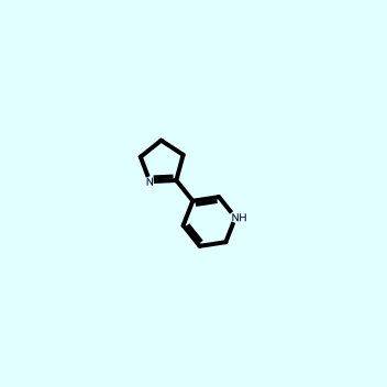 C1=CC(C2=NCCC2)=CNC1